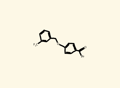 CC(C)C(=O)c1ccc(OCc2cccc(C(F)(F)F)c2)cc1